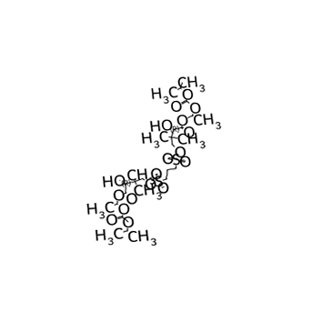 CC(C)OC(=O)OC(C)OC(=O)[C@H](O)C(C)(C)COS(=O)(=O)CCCS(=O)(=O)OCC(C)(C)[C@@H](O)C(=O)OC(C)OC(=O)OC(C)C